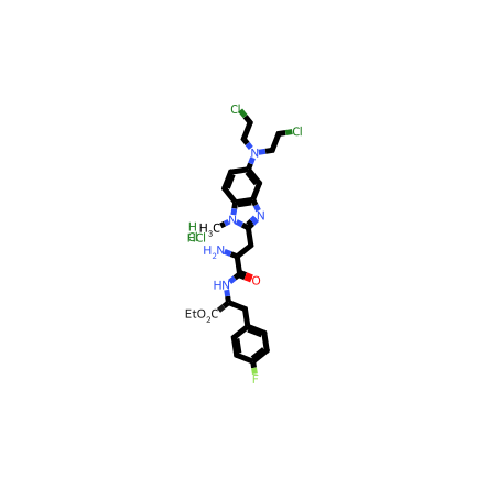 CCOC(=O)C(Cc1ccc(F)cc1)NC(=O)C(N)Cc1nc2cc(N(CCCl)CCCl)ccc2n1C.Cl.Cl